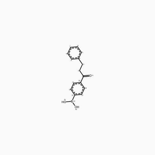 O=C(CCc1ccccc1)c1ccc(B(O)O)cc1